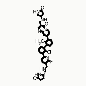 Cc1c(-c2ccn3c(=O)c(CNC4CNC(=O)C4)cnc3c2)cccc1-c1cccc(-c2ccc(CNC[C@@H]3CCC(=O)N3)c(F)n2)c1Cl